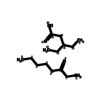 CCCCOC(=O)CN.CCN(CC)CC(=O)O